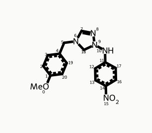 COc1ccc(CN2C=NN(Nc3ccc([N+](=O)[O-])cc3)C2)cc1